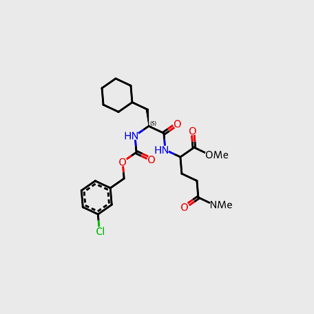 CNC(=O)CCC(NC(=O)[C@H](CC1CCCCC1)NC(=O)OCc1cccc(Cl)c1)C(=O)OC